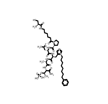 CC(C)C[C@H](NC(=O)[C@@H]1CCCN1C(=O)CCCCCNC(=O)[C@@H](N)CS)C(=O)N[C@@H](Cc1cncn1CCCCCCCCc1ccccc1)C(=O)N[C@@H](C)C(=O)N[C@H](C(N)=O)[C@@H](C)OP(=O)(O)O